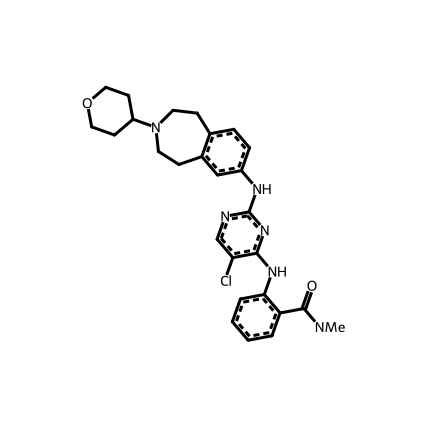 CNC(=O)c1ccccc1Nc1nc(Nc2ccc3c(c2)CCN(C2CCOCC2)CC3)ncc1Cl